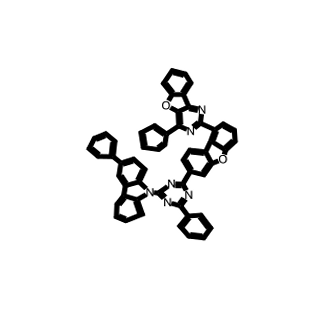 c1ccc(-c2ccc3c(c2)c2ccccc2n3-c2nc(-c3ccccc3)nc(-c3ccc4c(c3)oc3cccc(-c5nc(-c6ccccc6)c6oc7ccccc7c6n5)c34)n2)cc1